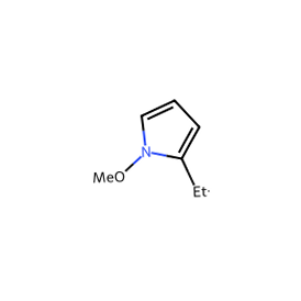 C[CH]c1cccn1OC